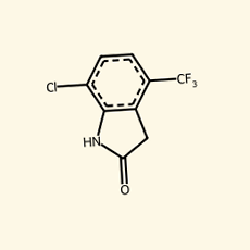 O=C1Cc2c(C(F)(F)F)ccc(Cl)c2N1